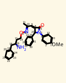 COc1ccc(N2C(=O)/C(=C/C(C)=NOCCC(N)Cc3ccccc3)C2c2ccccc2)cc1